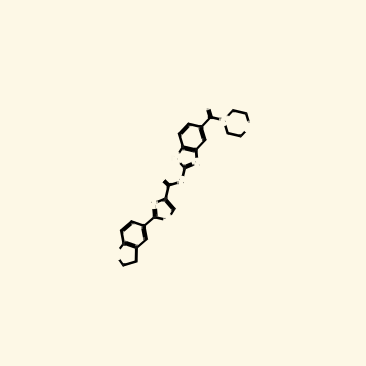 O=C(Nc1nc2cc(C(=O)N3CCOCC3)ccc2[nH]1)c1csc(-c2ccc3c(c2)CCO3)n1